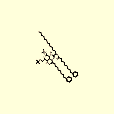 CCCCCCCCCCCCC(OC(=O)CCCCCCCCc1ccccc1)C(=O)N[C@H]1C(O[SiH](C)C)O[C@H](COC(C)(C)C)[C@@H](O)[C@@H]1OC(=O)CCCCCCCCc1ccccc1